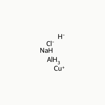 [AlH3].[Cl-].[Cu+].[H-].[NaH]